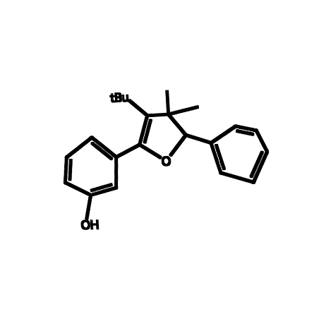 CC(C)(C)C1=C(c2cccc(O)c2)OC(c2ccccc2)C1(C)C